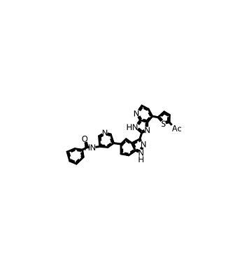 CC(=O)c1ccc(-c2ccnc3[nH]c(-c4n[nH]c5ccc(-c6cncc(NC(=O)c7ccccc7)c6)cc45)nc23)s1